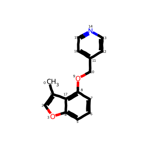 Cc1coc2cccc(OCc3ccncc3)c12